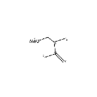 C=C(C)C(C)COC